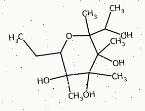 CCC1OC(C)(C(C)O)C(C)(O)C(C)(O)C1(C)O